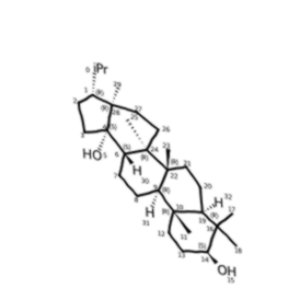 CC(C)[C@H]1CC[C@]2(O)[C@H]3CC[C@@H]4[C@@]5(C)CC[C@H](O)C(C)(C)[C@@H]5CC[C@@]4(C)[C@]3(C)CC[C@]12C